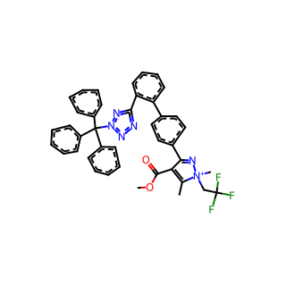 COC(=O)C1=C(C)[N+](C)(CC(F)(F)F)N=C1c1ccc(-c2ccccc2-c2nnn(C(c3ccccc3)(c3ccccc3)c3ccccc3)n2)cc1